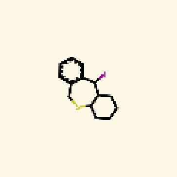 IC1c2ccccc2CSC2CCCCC21